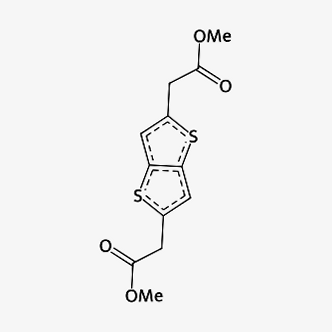 COC(=O)Cc1cc2sc(CC(=O)OC)cc2s1